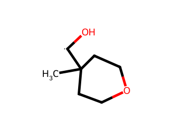 CC1([CH]O)CCOCC1